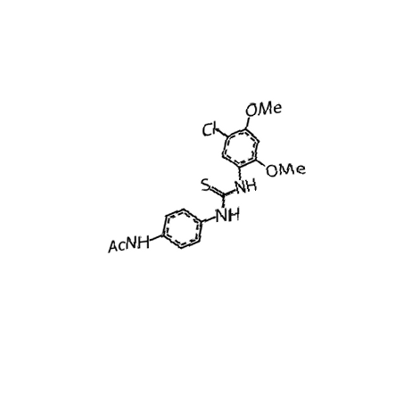 COc1cc(OC)c(NC(=S)Nc2ccc(NC(C)=O)cc2)cc1Cl